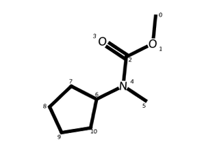 COC(=O)N(C)C1CCCC1